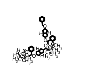 COc1ccccc1C(COC(C1C[C@H]2CC(OC(CO[Si](C)(C)C(C)(C)C)c3ccccc3OC)C[C@H]2C1)C(C)(C)[SiH](C)C)OC1C[C@H]2CC(OCc3ccccc3)C[C@H]2C1